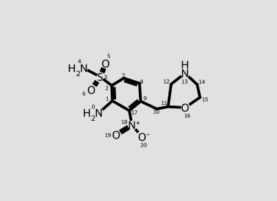 Nc1c(S(N)(=O)=O)ccc(CC2CNCCO2)c1[N+](=O)[O-]